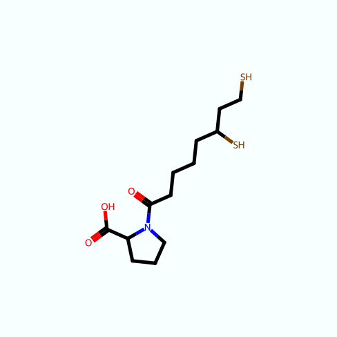 O=C(O)C1CCCN1C(=O)CCCCC(S)CCS